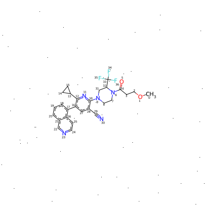 COCCC(=O)N1CCN(c2nc(C3CC3)c(-c3cccc4cnccc34)cc2C#N)CC1C(F)(F)F